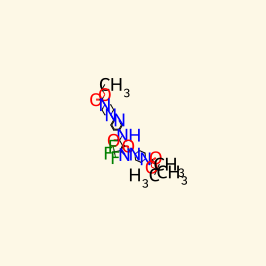 CCOC(=O)N1CCN(c2ccc(NC(=O)c3oc(N4CCN(C(=O)OC(C)(C)C)CC4)nc3C(F)(F)F)cn2)CC1